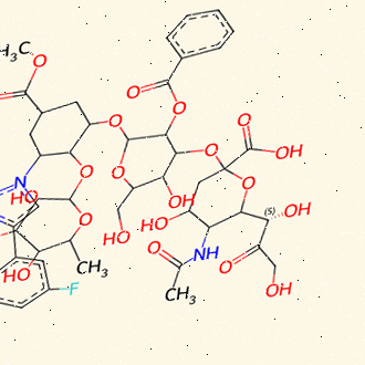 COC(=O)C1CC(OC2OC(CO)C(O)C(OC3(C(=O)O)CC(O)C(NC(C)=O)C([C@H](O)C(=O)CO)O3)C2OC(=O)c2ccccc2)C(OC2OC(C)C(O)C(O)C2O)C(n2cc(-c3cccc(F)c3)nn2)C1